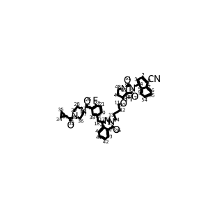 N#Cc1ccc(N2C(=O)[C@H]3C(OCCCCn4nc(Cc5ccc(F)c(C(=O)N6CCN(C(=O)C7CC7)CC6)c5)c5ccccc5c4=O)CCN3C2=O)c2ccccc12